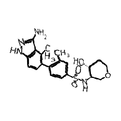 Cc1cc(S(=O)(=O)N[C@@H]2COCC[C@H]2O)ccc1-c1ccc2[nH]nc(N)c2c1C